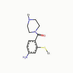 CCSc1cc(N)ccc1C(=O)N1CCN(CC)CC1